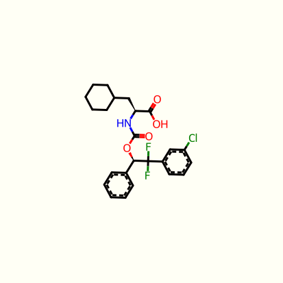 O=C(N[C@@H](CC1CCCCC1)C(=O)O)O[C@H](c1ccccc1)C(F)(F)c1cccc(Cl)c1